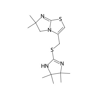 CC1(C)CN2C(CSC3=NC(C)(C)C(C)(C)N3)=CSC2=N1